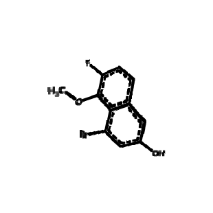 COc1c(F)ccc2cc(O)cc(Br)c12